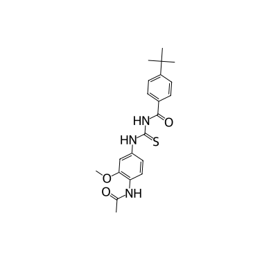 COc1cc(NC(=S)NC(=O)c2ccc(C(C)(C)C)cc2)ccc1NC(C)=O